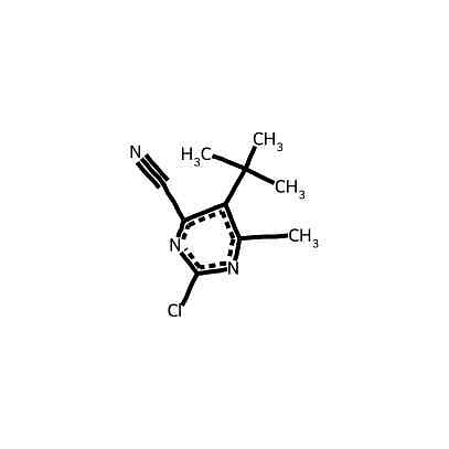 Cc1nc(Cl)nc(C#N)c1C(C)(C)C